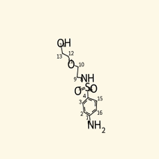 Nc1ccc(S(=O)(=O)NCCOCCO)cc1